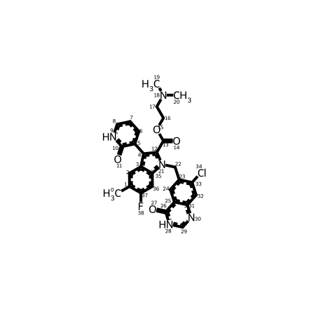 Cc1cc2c(-c3ccc[nH]c3=O)c(C(=O)OCCN(C)C)n(Cc3cc4c(=O)[nH]cnc4cc3Cl)c2cc1F